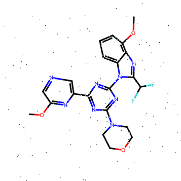 COc1cncc(-c2nc(N3CCOCC3)nc(-n3c(C(F)F)nc4c(OC)cccc43)n2)n1